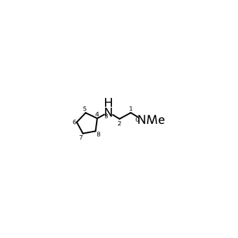 CNCCNC1CCCC1